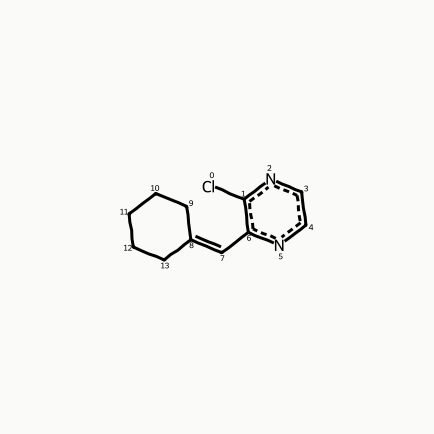 Clc1nccnc1C=C1CCCCC1